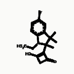 CC1(C)c2cc(Br)ccc2N(CC(=O)O)C1(C)C1=C(O)CC1=O